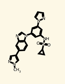 Cn1cc(-c2ccc3c(c2)ncn3-c2cc(NS(=O)(=O)C3CC3)cc(-n3cccn3)c2)cn1